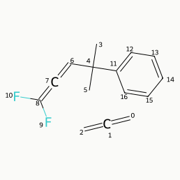 C=C=C.CC(C)(C=C=C(F)F)c1ccccc1